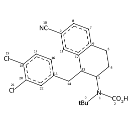 CC(C)(C)N(C(=O)O)C1CCc2ccc(C#N)cc2C1Cc1ccc(Cl)c(Cl)c1